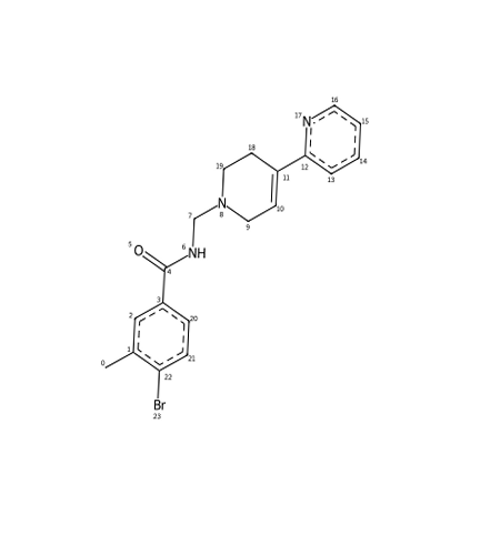 Cc1cc(C(=O)NCN2CC=C(c3ccccn3)CC2)ccc1Br